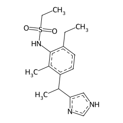 CCc1ccc(C(C)c2c[nH]cn2)c(C)c1NS(=O)(=O)CC